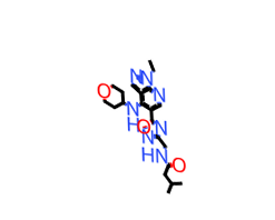 CCn1ncc2c(NC3CCOCC3)c(-c3nc(CNC(=O)CC(C)C)no3)cnc21